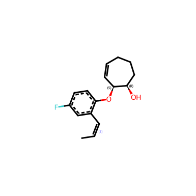 C/C=C\c1cc(F)ccc1O[C@H]1C=CCCC[C@H]1O